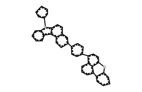 c1ccc(-n2c3ccccc3c3c4ccc(-c5ccc(-c6ccc7c8c(cccc68)-c6ccccc6O7)cc5)cc4ccc32)cc1